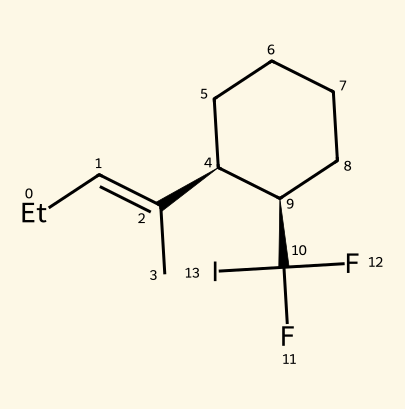 CC/C=C(\C)[C@H]1CCCC[C@H]1C(F)(F)I